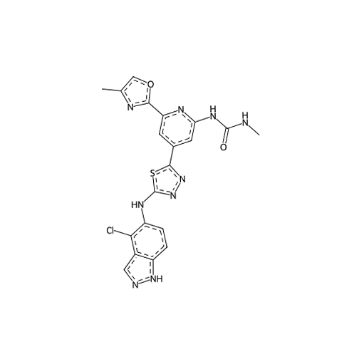 CNC(=O)Nc1cc(-c2nnc(Nc3ccc4[nH]ncc4c3Cl)s2)cc(-c2nc(C)co2)n1